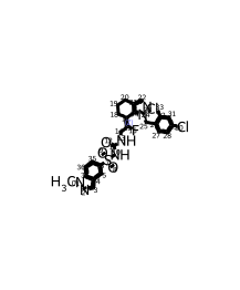 Cn1ncc2cc(S(=O)(=O)NC(=O)NC/C(F)=C3\CCCc4cnn(Cc5ccc(Cl)cc5Cl)c43)ccc21